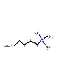 [CH2]CC[N+](C)(C)CCCCCCCCC